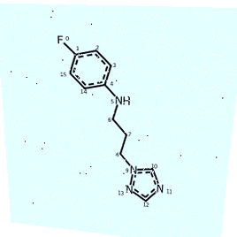 Fc1ccc(NCCCn2cncn2)cc1